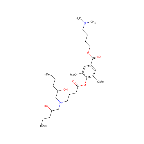 CCCCCCCCCCCCC(O)CN(CCCC(=O)Oc1c(OC)cc(C(=O)OCCCCN(C)C)cc1OC)CC(O)CCCCCCCCCCCC